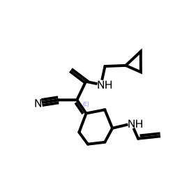 C=CNC1CCC/C(=C(\C#N)C(=C)NCC2CC2)C1